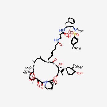 COc1ccc(S(=O)(=O)N(CC(C)C)C[C@H](O)[C@@H](Cc2ccccc2)NC(=O)CCNC(=O)CC/C=C/C[C@@H]2/C=C(\C)C[C@H](C)C[C@H](OC)[C@H]3O[C@@](O)(C(=O)C(=O)N4CCCC[C@H]4C(=O)OC[C@H](/C(C)=C/[C@@H]4CC[C@@H](O)[C@H](OC)C4)[C@H](C)[C@@H](O)CC2=O)[C@H](C)C[C@@H]3OC)cc1